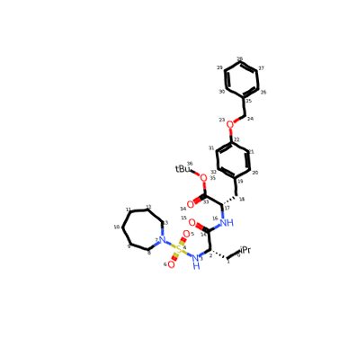 CC(C)C[C@H](NS(=O)(=O)N1CCCCCC1)C(=O)N[C@@H](Cc1ccc(OCc2ccccc2)cc1)C(=O)OC(C)(C)C